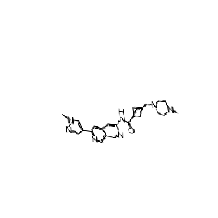 CN1CCN(CC23CC(C(=O)Nc4cc5cc(-c6cnn(C)c6)ncc5cn4)(C2)C3)CC1